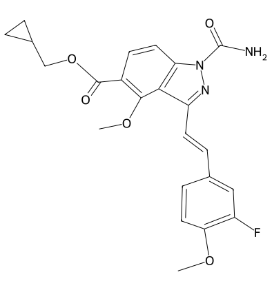 COc1ccc(C=Cc2nn(C(N)=O)c3ccc(C(=O)OCC4CC4)c(OC)c23)cc1F